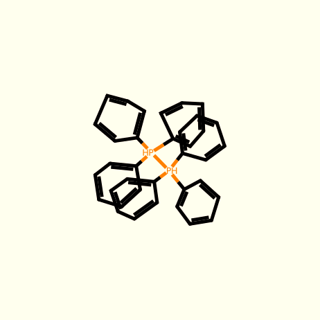 c1ccc([PH](c2ccccc2)(c2ccccc2)[PH](c2ccccc2)(c2ccccc2)c2ccccc2)cc1